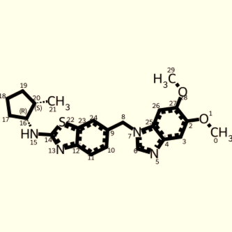 COc1cc2ncn(Cc3ccc4nc(N[C@@H]5CCC[C@@H]5C)sc4c3)c2cc1OC